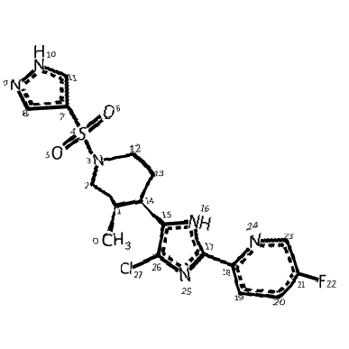 C[C@H]1CN(S(=O)(=O)c2cn[nH]c2)CC[C@H]1c1[nH]c(-c2ccc(F)cn2)nc1Cl